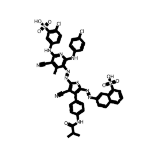 Cc1c(C#N)c(Nc2ccc(Cl)c(S(=O)(=O)O)c2)nc(Nc2ccc(Cl)cc2)c1N=Nc1sc(N=Nc2ccc3cccc(S(=O)(=O)O)c3c2)c(-c2ccc(NC(=O)C(C)C)cc2)c1C#N